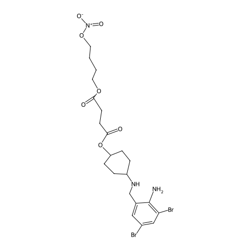 Nc1c(Br)cc(Br)cc1CNC1CCC(OC(=O)CCC(=O)OCCCCO[N+](=O)[O-])CC1